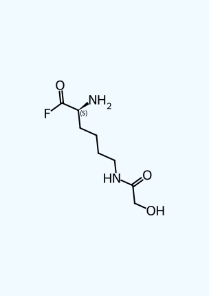 N[C@@H](CCCCNC(=O)CO)C(=O)F